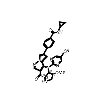 CO[C@H]1CNC[C@H]1N(c1ncc(C#N)cn1)c1c(C(N)=O)cnn2cc(-c3ccc(C(=O)NC4CC4)cc3)cc12